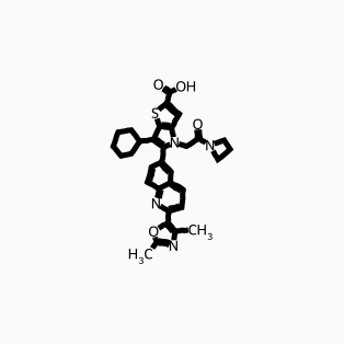 Cc1nc(C)c(-c2ccc3cc(-c4c(C5CCCCC5)c5sc(C(=O)O)cc5n4CC(=O)N4CCC4)ccc3n2)o1